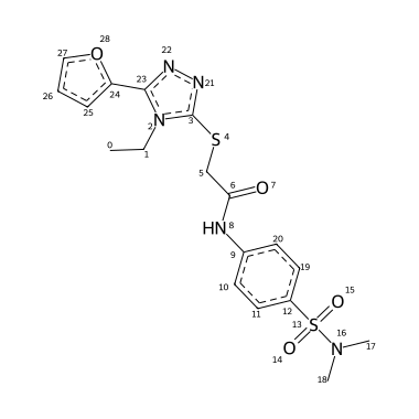 CCn1c(SCC(=O)Nc2ccc(S(=O)(=O)N(C)C)cc2)nnc1-c1ccco1